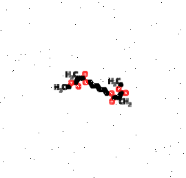 C=C(C(=O)OCC)C(=O)OCCCCCCOC(=O)C(=C)C(=O)OCC